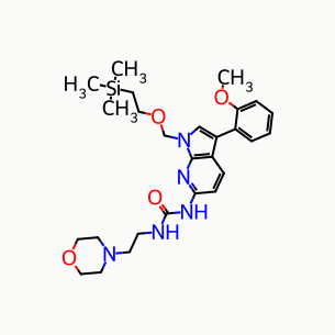 COc1ccccc1-c1cn(COCC[Si](C)(C)C)c2nc(NC(=O)NCCN3CCOCC3)ccc12